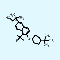 CC(C)(C)[C@H]1CC[C@H](Oc2ccc3cc([C@](C)(N)CO)ccc3c2C(F)(F)F)CC1